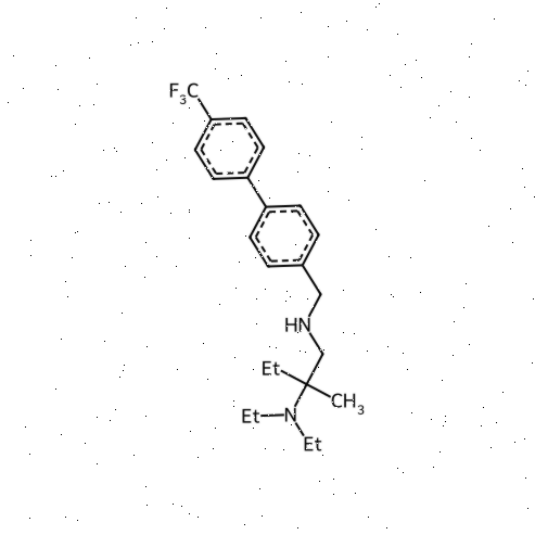 CCN(CC)C(C)(CC)CNCc1ccc(-c2ccc(C(F)(F)F)cc2)cc1